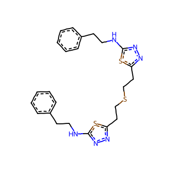 c1ccc(CCNc2nnc(CCSCCc3nnc(NCCc4ccccc4)s3)s2)cc1